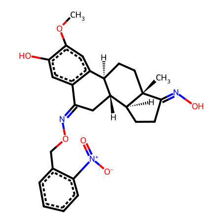 COc1cc2c(cc1O)C(=NOCc1ccccc1[N+](=O)[O-])C[C@@H]1[C@@H]2CC[C@]2(C)C(=NO)CC[C@@H]12